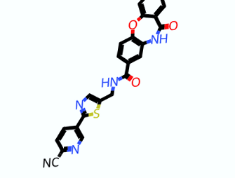 N#Cc1ccc(-c2ncc(CNC(=O)c3ccc4c(c3)NC(=O)c3ccccc3O4)s2)cn1